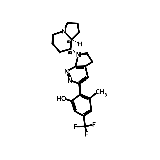 Cc1cc(C(F)(F)F)cc(O)c1-c1cc2c(nn1)N([C@@H]1CCCN3CCC[C@@H]13)CC2